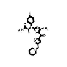 CC(C(N)=O)N(c1ccc(F)cc1)c1nc(N)c(C(=O)c2cc(CN3CCCCC3)no2)s1